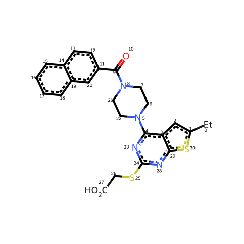 CCc1cc2c(N3CCN(C(=O)c4ccc5ccccc5c4)CC3)nc(SCC(=O)O)nc2s1